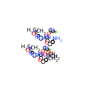 CN(C)C(=O)c1cc2n(n1)CCCN(c1nc(OC[C@@]34CCCN3C[C@H](F)C4)nc3c1COC1(CCCc4ccc(N(C(=O)O)C(C)(C)C)cc41)C3)C2.CN(C)C(=O)c1cc2n(n1)CCCN(c1nc(OC[C@@]34CCCN3C[C@H](F)C4)nc3c1COC1(CCCc4ccc(N)cc41)C3)C2